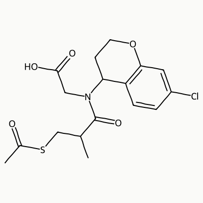 CC(=O)SCC(C)C(=O)N(CC(=O)O)C1CCOc2cc(Cl)ccc21